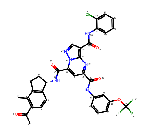 CC(=O)c1ccc2c(c1C)CC[C@@H]2NC(=O)c1cc(C(=O)Nc2cccc(OC(F)(F)F)c2)nc2c(C(=O)Nc3ccccc3Cl)cnn12